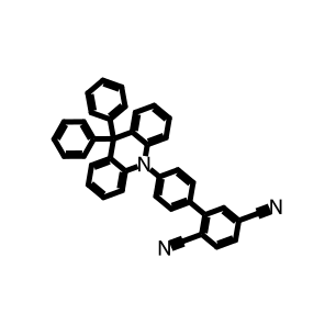 N#Cc1ccc(C#N)c(-c2ccc(N3c4ccccc4C(c4ccccc4)(c4ccccc4)c4ccccc43)cc2)c1